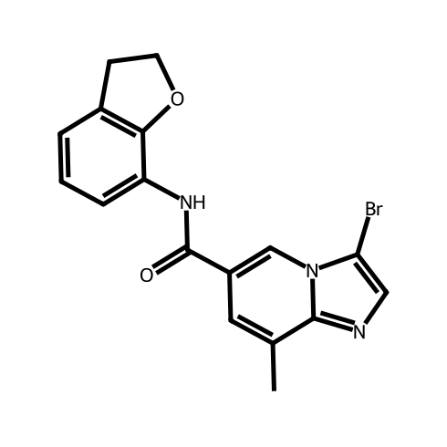 Cc1cc(C(=O)Nc2cccc3c2OCC3)cn2c(Br)cnc12